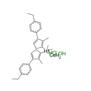 CCc1ccc(C2=CC[C]([Hf]([CH3])([CH3])(=[GeH2])[C]3=C(C)C(c4ccc(CC)cc4)=CC3)=C2C)cc1.Cl.Cl